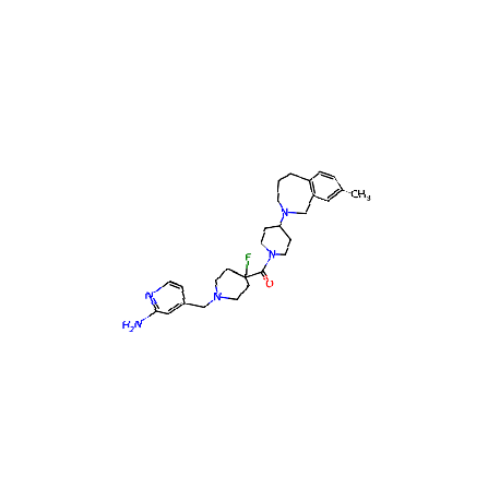 Cc1ccc2c(c1)CN(C1CCN(C(=O)C3(F)CCN(Cc4ccnc(N)c4)CC3)CC1)CCC2